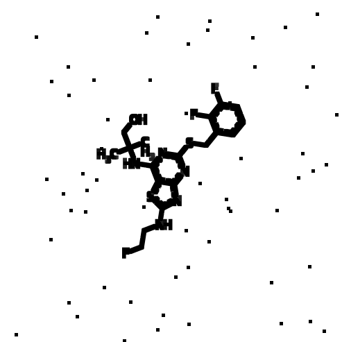 CC(C)(CO)Nc1nc(SCc2cccc(F)c2F)nc2nc(NCCF)sc12